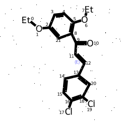 CCOc1ccc(OCC)c(C(=O)/C=C/c2ccc(Cl)c(Cl)c2)c1